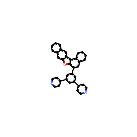 c1ccc2cc3c(cc2c1)oc1c(-c2cc(-c4ccncc4)cc(-c4ccncc4)c2)cc2ccccc2c13